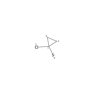 [S]C1(Cl)CC1